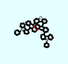 c1ccc(-n2c3ccccc3c3c(-c4cccc5c(-c6cccc7oc8ccc(-c9c%10ccccc%10c(-c%10cccc%11c%10c%10ccccc%10n%11-c%10ccccc%10)c%10ccccc9%10)cc8c67)c6ccccc6cc45)cccc32)cc1